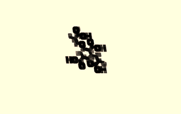 CC(=COC=C(C(=O)O)C(C=C(C)C(=O)O)C=C(C)C(=O)O)C(=O)O